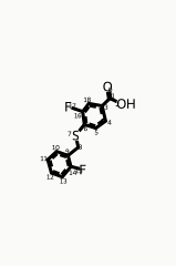 O=C(O)c1ccc(SCc2ccccc2F)c(F)c1